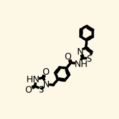 O=C(Nc1nc(-c2ccccc2)cs1)c1ccc(Cn2sc(=O)[nH]c2=O)cc1